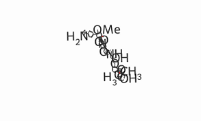 COc1ccc(S(=O)(=O)N2CCC3(CC2)C[C@H](NCC(O)COc2cccc(S(=O)(=O)C(C)(C)CO)c2)CO3)cc1-c1ccc(C2(N)CC2)cc1